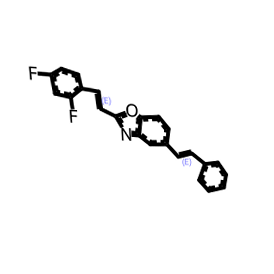 Fc1ccc(/C=C/c2nc3cc(/C=C/c4ccccc4)ccc3o2)c(F)c1